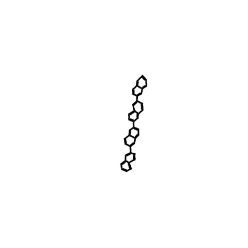 c1ccc2cc(-c3ccc4cc(-c5ccc6cc(-c7ccc8ccccc8c7)ccc6c5)ccc4c3)ccc2c1